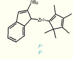 CCCCC1=Cc2ccccc2[CH]1[Zr+2][C]1=C(C)C(C)=C(C)C1(C)C.[F-].[F-]